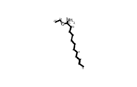 CCCCCCCCCCCC(N)OCC